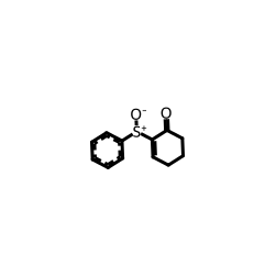 O=C1CCCC=C1[S+]([O-])c1ccccc1